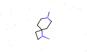 CN1CCC2(CC1)CCN2I